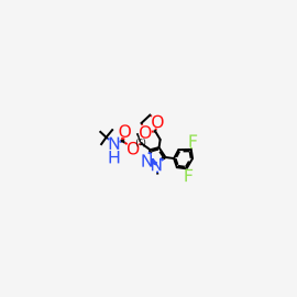 C[C@H](OC(=O)NC(C)(C)C)c1nn(C)c(-c2cc(F)cc(F)c2)c1CC1OCCO1